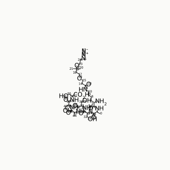 CC(NC(=O)C(N)CCCCNC(=O)CCOCCC(C)(C)OCCN=[N+]=[N-])C(=O)NC(CO)C(=O)NC(CO)C(=O)NC(C)C(=O)NC(CO)C(=O)NC(CO)C(=O)O